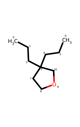 CCCC1(CCC)CCOC1